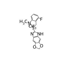 CN(C)c1cccc(F)c1CSc1nc2cc3c(cc2[nH]1)OCO3